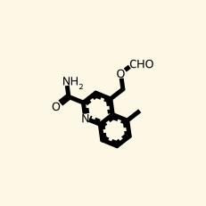 Cc1cccc2nc(C(N)=O)cc(COC=O)c12